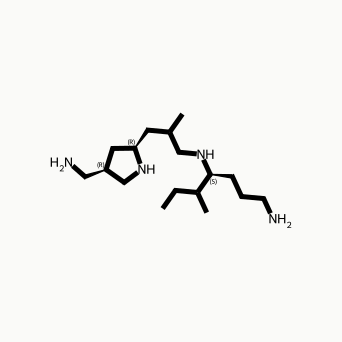 CCC(C)[C@H](CCCN)NCC(C)C[C@@H]1C[C@H](CN)CN1